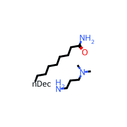 CCCCCCCCCCCCCCCCCC(N)=O.CN(C)CCCN